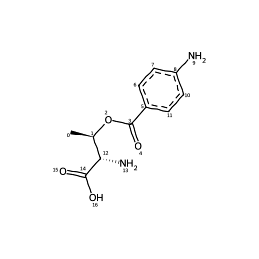 C[C@@H](OC(=O)c1ccc(N)cc1)[C@H](N)C(=O)O